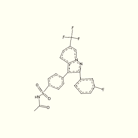 CC(=O)NS(=O)(=O)c1ccc(-c2c(-c3cccc(F)c3)nn3cc(C(F)(F)F)ccc23)cc1